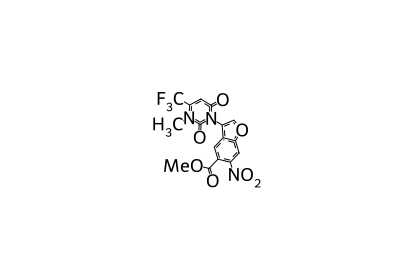 COC(=O)c1cc2c(-n3c(=O)cc(C(F)(F)F)n(C)c3=O)coc2cc1[N+](=O)[O-]